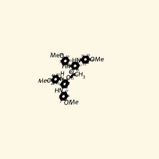 COc1ccc(Nc2ccc(OCC(C)Oc3ccc(Nc4ccc(OC)cc4)cc3Nc3ccc(OC)cc3)c(Nc3ccc(OC)cc3)c2)cc1